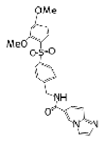 COc1ccc(S(=O)(=O)c2ccc(CNC(=O)c3ccc4nccn4c3)cc2)c(OC)c1